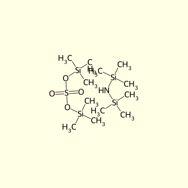 C[Si](C)(C)N[Si](C)(C)C.C[Si](C)(C)OS(=O)(=O)O[Si](C)(C)C